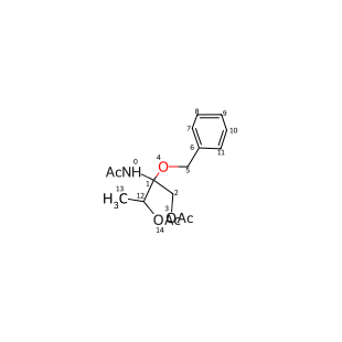 CC(=O)NC(COC(C)=O)(OCc1ccccc1)C(C)OC(C)=O